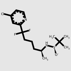 C[C@@H](CCCC(F)(F)c1cc(Cl)ccn1)N[S@+]([O-])C(C)(C)C